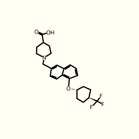 O=C(O)C1CCN(Cc2ccc3c(O[C@H]4CC[C@H](C(F)(F)F)CC4)cccc3c2)CC1